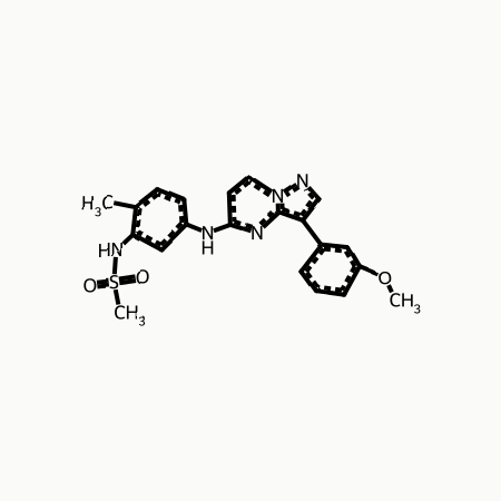 COc1cccc(-c2cnn3ccc(Nc4ccc(C)c(NS(C)(=O)=O)c4)nc23)c1